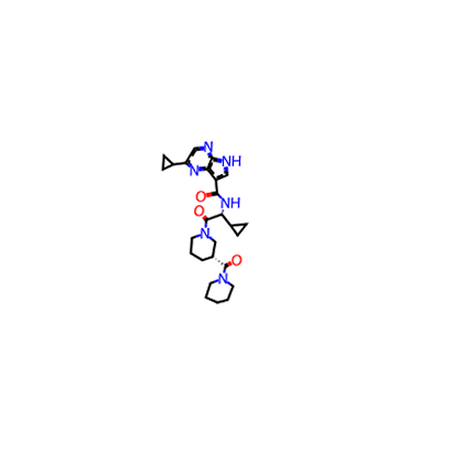 O=C(N[C@@H](C(=O)N1CCC[C@@H](C(=O)N2CCCCC2)C1)C1CC1)c1c[nH]c2ncc(C3CC3)nc12